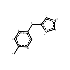 Cc1ccc(Cc2cn[c]s2)cc1